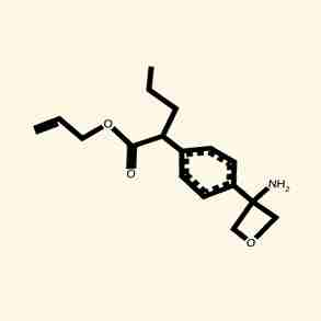 C=CCOC(=O)C(CCC)c1ccc(C2(N)COC2)cc1